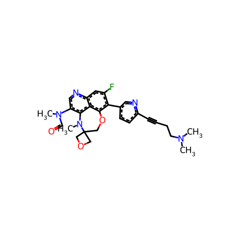 CN(C)CCC#Cc1ccc(-c2c(F)cc3ncc(N(C)C=O)c4c3c2OCC2(COC2)N4C)cn1